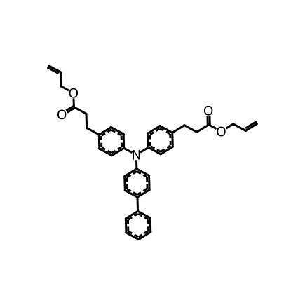 C=CCOC(=O)CCc1ccc(N(c2ccc(CCC(=O)OCC=C)cc2)c2ccc(-c3ccccc3)cc2)cc1